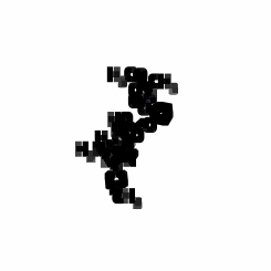 COC(=O)[C@H](C)/N=[P+](\[O-])Oc1ccccc1OC[C@H]1O[C@@H](n2cnc3c(N4CCN(C)CC4)nc(N)nc32)[C@](C)(F)[C@@H]1O